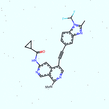 CNc1ncc(C#Cc2ccc3c(c2)nc(C)n3C(F)F)c2cc(NC(=O)C3CC3)ncc12